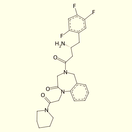 N[C@@H](CC(=O)N1CC(=O)N(CC(=O)N2CCCCC2)c2ccccc2C1)Cc1cc(F)c(F)cc1F